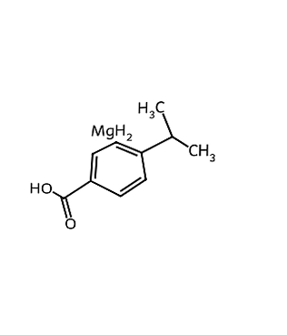 CC(C)c1ccc(C(=O)O)cc1.[MgH2]